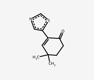 CC1(C)C=C(c2cncs2)C(=O)CC1